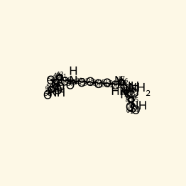 CCS(=O)(=O)Nc1ccc(-c2n[nH]c(Nc3ccnc(OCCOCCOCCOCCOCCNC(=O)COc4cccc5c4C(=O)N(C4CCC(=O)NC4=O)C5=O)c3)c2C(N)=O)cc1